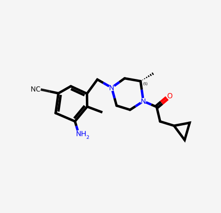 Cc1c(N)cc(C#N)cc1CN1CCN(C(=O)CC2CC2)[C@@H](C)C1